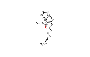 CC#CCCCCCc1ccc2ccccc2c1C(=O)OC